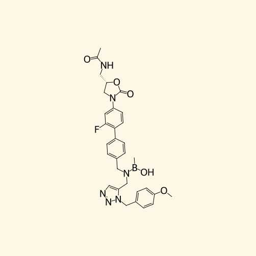 COc1ccc(Cn2nncc2CN(Cc2ccc(-c3ccc(N4C[C@H](CNC(C)=O)OC4=O)cc3F)cc2)B(C)O)cc1